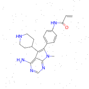 C=CC(=O)Nc1ccc(-c2c(C3CCNCC3)c3c(N)ncnc3n2C)cc1